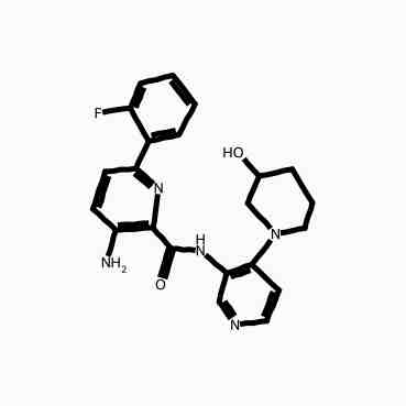 Nc1ccc(-c2ccccc2F)nc1C(=O)Nc1cnccc1N1CCCC(O)C1